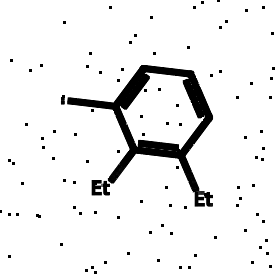 [CH]c1cccc(CC)c1CC